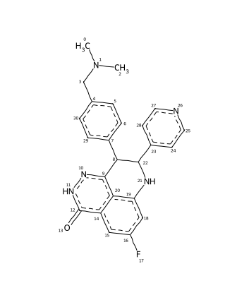 CN(C)Cc1ccc(C2c3n[nH]c(=O)c4cc(F)cc(c34)NC2c2ccncc2)cc1